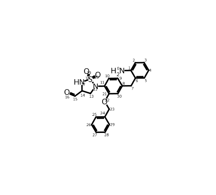 Nc1ccccc1Cc1ccc(N2CC(C=O)NS2(=O)=O)c(OCc2ccccc2)c1